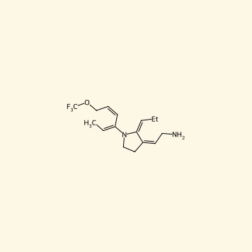 C/C=C(\C=C/COC(F)(F)F)N1CCC(=C/CN)/C1=C\CC